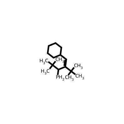 CC(C)(C)C(=CC1CCCCC1)C(P)C(C)(C)C